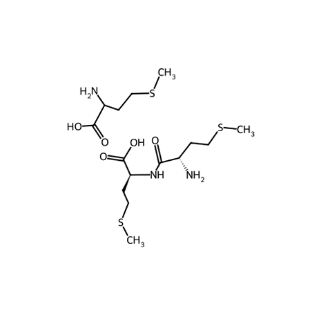 CSCCC(N)C(=O)O.CSCC[C@H](NC(=O)[C@@H](N)CCSC)C(=O)O